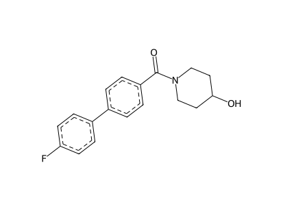 O=C(c1ccc(-c2ccc(F)cc2)cc1)N1CCC(O)CC1